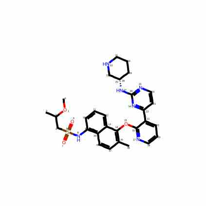 COC(C)CS(=O)(=O)Nc1cccc2c(Oc3ncccc3-c3ccnc(N[C@H]4CCCNC4)n3)c(C)ccc12